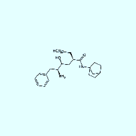 C#CC[C@H](C[C@H](O)[C@@H](N)Cc1ccccc1)C(=O)NC12CCC(CC1)C2